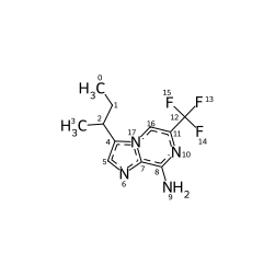 CCC(C)c1cnc2c(N)nc(C(F)(F)F)cn12